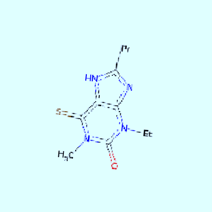 CCn1c(=O)n(C)c(=S)c2[nH]c(C(C)C)nc21